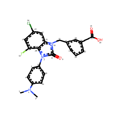 CN(C)c1ccc(-n2c(=O)n(Cc3cccc(C(=O)O)c3)c3cc(Cl)cc(F)c32)cc1